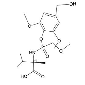 COCP(=O)(N[C@](C)(C(=O)O)C(C)C)Oc1c(OC)cc(CO)cc1OC